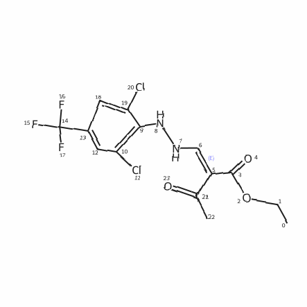 CCOC(=O)/C(=C/NNc1c(Cl)cc(C(F)(F)F)cc1Cl)C(C)=O